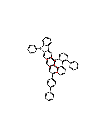 c1ccc(-c2ccc(-c3ccc(N(c4ccc5c(c4)c4ccccc4n5-c4ccccc4)c4cccc(-c5ccccc5)c4-c4ccccc4-c4ccccc4)cc3)cc2)cc1